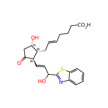 O=C(O)CCCC=CC[C@H]1[C@@H](O)CC(=O)[C@@H]1C=CC(O)c1nc2ccccc2s1